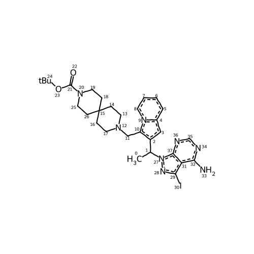 CC(c1cc2ccccn2c1CN1CCC2(CC1)CCN(C(=O)OC(C)(C)C)CC2)n1nc(I)c2c(N)ncnc21